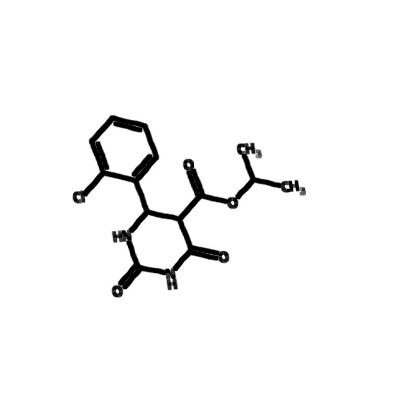 CC(C)OC(=O)C1C(=O)NC(=O)NC1c1ccccc1Cl